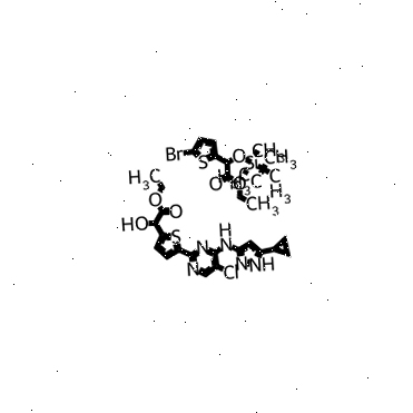 CCOC(=O)C(O)c1ccc(-c2ncc(Cl)c(Nc3cc(C4CC4)[nH]n3)n2)s1.CCOC(=O)C(O[Si](C)(C)C(C)(C)C)c1ccc(Br)s1